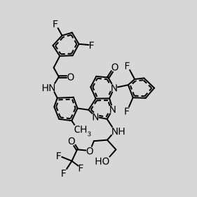 Cc1ccc(NC(=O)Cc2cc(F)cc(F)c2)cc1-c1nc(NC(CO)COC(=O)C(F)(F)F)nc2c1ccc(=O)n2-c1c(F)cccc1F